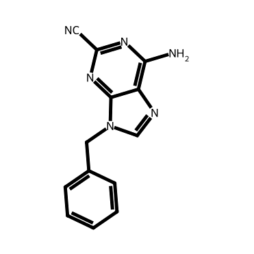 N#Cc1nc(N)c2ncn(Cc3ccccc3)c2n1